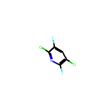 Fc1cc(Cl)c(F)nc1Cl